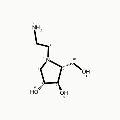 NCCN1C[C@@H](O)[C@H](O)[C@H]1CO